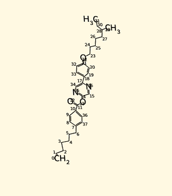 C=CCCCCCc1ccc(C(=O)Oc2cnc(-c3ccc(OCCCCCC(C)CC)cc3)cn2)cc1